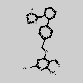 Cc1cc(OCc2ccc(-c3ccccc3-c3nnn[nH]3)cc2)c(C=O)c(C)n1